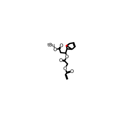 C=CC(=O)OCC(=O)OC(CC(=O)OC(C)(C)C)C1CC2C=CC1C2